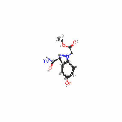 CC(C)(C)OC(=O)Cn1nc(C(N)=O)c2cc(O)ccc21